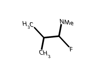 CNC(F)C(C)C